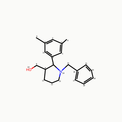 Cc1cc(C)cc(C2C(CO)CCCN2Cc2ccccc2)c1